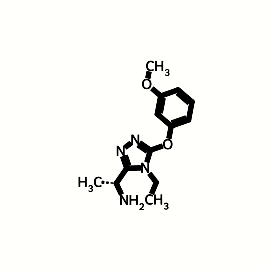 CCn1c(Oc2cccc(OC)c2)nnc1[C@@H](C)N